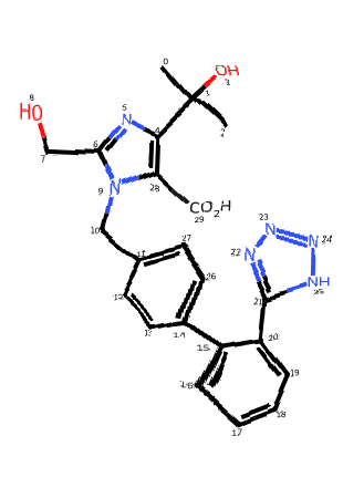 CC(C)(O)c1nc(CO)n(Cc2ccc(-c3ccccc3-c3nnn[nH]3)cc2)c1C(=O)O